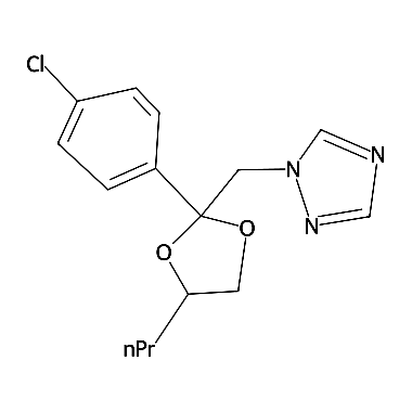 CCCC1COC(Cn2cncn2)(c2ccc(Cl)cc2)O1